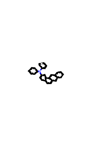 c1ccc(N(c2ccccc2)c2ccc3ccc4cc5ccccc5cc4c3c2)cc1